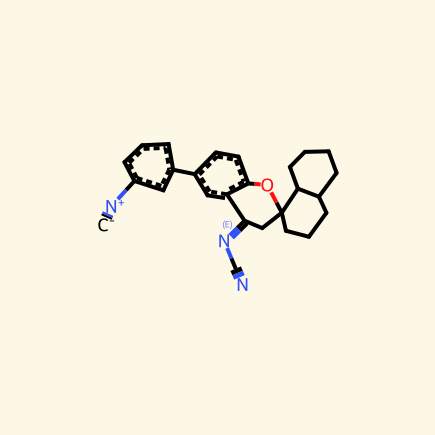 [C-]#[N+]c1cccc(-c2ccc3c(c2)/C(=N/C#N)CC2(CCCC4CCCCC42)O3)c1